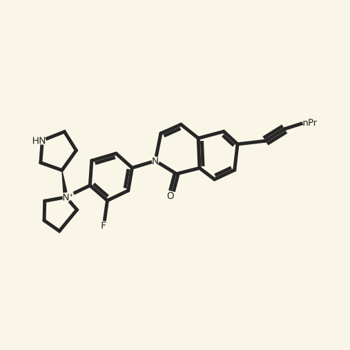 CCCC#Cc1ccc2c(=O)n(-c3ccc([N+]4([C@@H]5CCNC5)CCCC4)c(F)c3)ccc2c1